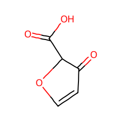 O=C(O)C1OC=CC1=O